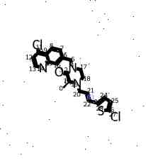 C[C@H]1C(=O)N(Cc2ccc3c(Cl)ccnc3c2)CCN1C/C=C/c1ccc(Cl)s1